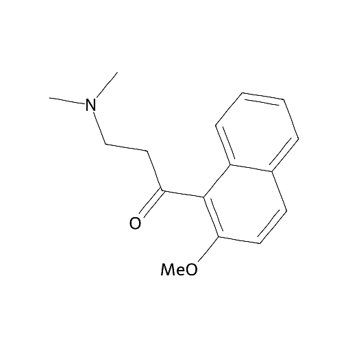 COc1ccc2ccccc2c1C(=O)CCN(C)C